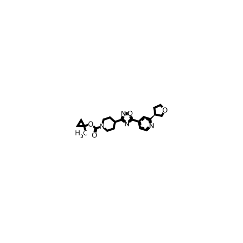 CC1(OC(=O)N2CCC(c3noc(-c4ccnc([C@H]5CCOC5)c4)n3)CC2)CC1